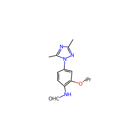 Cc1nc(C)n(-c2ccc(NC=O)c(OC(C)C)c2)n1